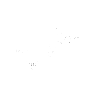 Cc1ccc(-c2cc(C(F)(F)F)nn2-c2ccc(S(=O)(=O)NC(=O)C3CCN(n4on4OCOC(=O)C(C)C)CC3)cc2)cc1